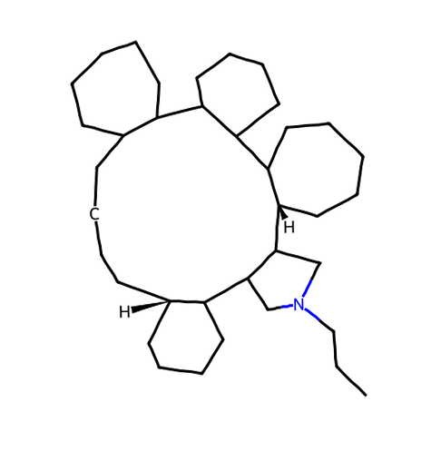 CCCN1CC2C3CCCC[C@@H]3CCCCC3CCCCCC3C3CCCCC3C3CCCCC[C@@H]3C2C1